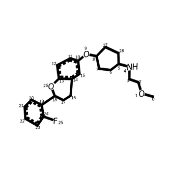 COCCNC1CCC(Oc2ccc3c(c2)CCC(c2ccccc2F)O3)CC1